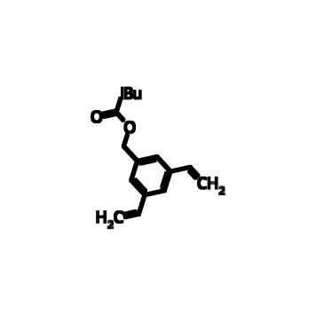 C=Cc1cc(C=C)cc(COC(=O)C(C)CC)c1